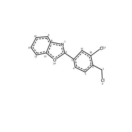 ClCc1ccc(-c2nc3ccccc3o2)cc1Cl